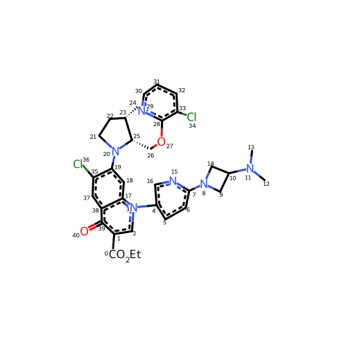 CCOC(=O)c1cn(-c2ccc(N3CC(N(C)C)C3)nc2)c2cc(N3CC[C@H](C)[C@@H]3COc3ncccc3Cl)c(Cl)cc2c1=O